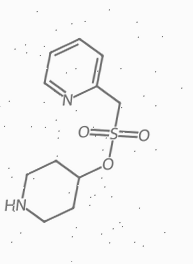 O=S(=O)(Cc1ccccn1)OC1CCNCC1